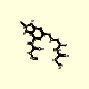 C[C@H](COCc1cc(NC(=O)OC(C)(C)C)c2nn(C)nc2c1)NC(=O)OC(C)(C)C